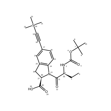 CC[C@H](NC(=O)OC(C)(C)C)C(=O)N1c2ccc(C#C[Si](C)(C)C)cc2C[C@@H]1C(=O)O